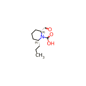 CCC[C@@H]1CCC[C@H](C=O)N1C(=O)O